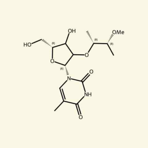 CO[C@H](C)[C@@H](C)OC1C(O)[C@@H](CO)O[C@H]1n1cc(C)c(=O)[nH]c1=O